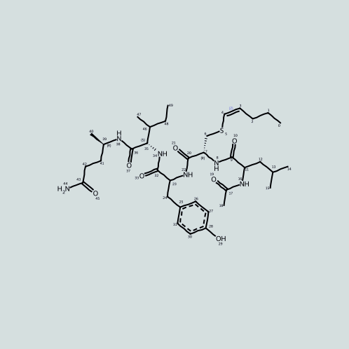 CCC/C=C\SC[C@H](NC(=O)C(CC(C)C)NC(C)=O)C(=O)NC(Cc1ccc(O)cc1)C(=O)N[C@H](C(=O)N[C@H](C)CCC(N)=O)C(C)CC